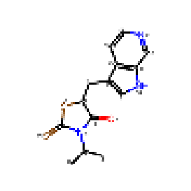 CC(C)N1C(=O)C(Cc2c[nH]c3cnccc23)SC1=S